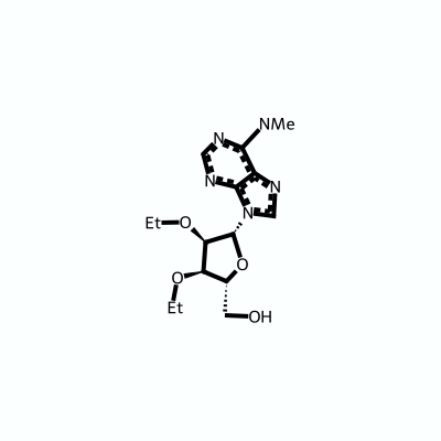 CCO[C@@H]1[C@H](OCC)[C@@H](CO)O[C@H]1n1cnc2c(NC)ncnc21